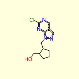 OCC1CCCC1Cn1ncc2cnc(Cl)nc21